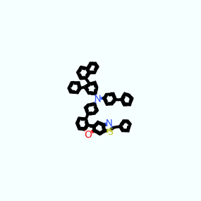 c1ccc(-c2ccc(N(c3ccc(-c4cccc5oc6cc7sc(-c8ccccc8)nc7cc6c45)cc3)c3ccc(-c4cccc5ccccc45)c(-c4ccccc4)c3)cc2)cc1